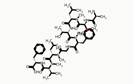 CC(C)C[C@@H](C(=O)N(C)[C@H](C(=O)N[C@@H](Cc1ccccc1)C(=O)O)C(C)C)N(C)C(=O)CNC(=O)[C@H](Cc1ccccc1)N(C)C(=O)[C@@H](NC(=O)[C@H](CC(C)C)N(C)C(=O)[C@@H](NC(=O)[C@H](C)N)C(C)C)[C@@H](C)O